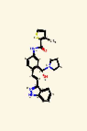 Cc1ccsc1C(=O)Nc1ccc(/C=C/c2n[nH]c3ccccc23)c([C@@H](O)N2CCCC2)c1